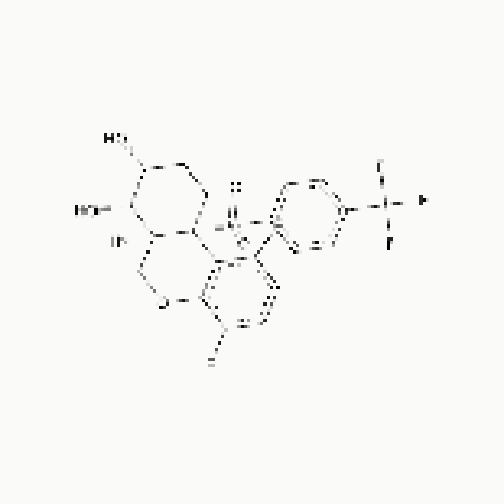 O=S(=O)(c1ccc(C(F)(F)F)cc1)[C@@]12CC[C@@H](O)[C@@H](O)[C@@H]1COc1c(F)ccc(F)c12